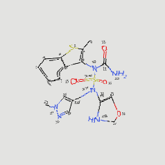 Cc1sc2ccccc2c1N(C(N)=O)S(=O)(=O)N(c1cnn(C)c1)C1COCN1